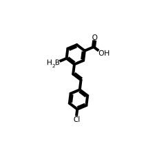 Bc1ccc(C(=O)O)cc1/C=C/c1ccc(Cl)cc1